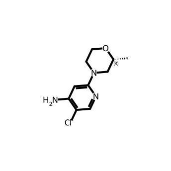 C[C@@H]1CN(c2cc(N)c(Cl)cn2)CCO1